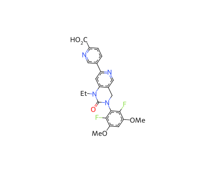 CCN1C(=O)N(c2c(F)c(OC)cc(OC)c2F)Cc2cnc(-c3ccc(C(=O)O)nc3)cc21